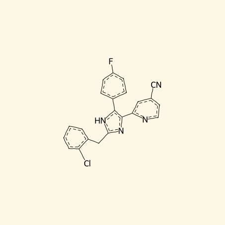 N#Cc1ccnc(-c2nc(Cc3ccccc3Cl)[nH]c2-c2ccc(F)cc2)c1